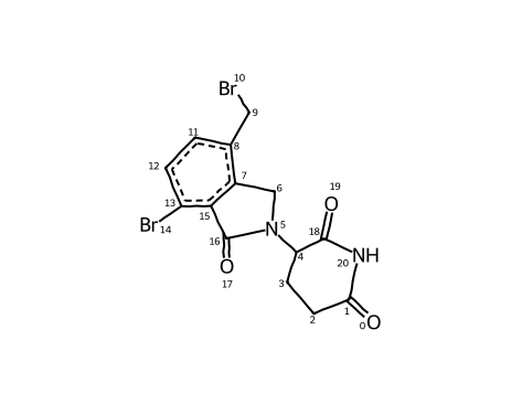 O=C1CCC(N2Cc3c(CBr)ccc(Br)c3C2=O)C(=O)N1